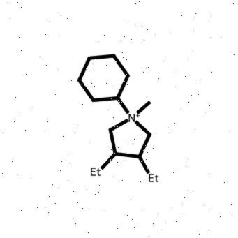 CCC1C[N+](C)(C2CCCCC2)CC1CC